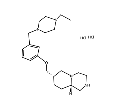 CCN1CCN(Cc2cccc(OC[C@H]3CC[C@H]4CNCCN4C3)c2)CC1.Cl.Cl